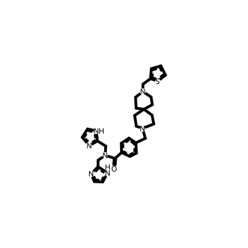 O=C(c1ccc(CN2CCC3(CC2)CCN(Cc2cccs2)CC3)cc1)N(Cc1ncc[nH]1)Cc1ncc[nH]1